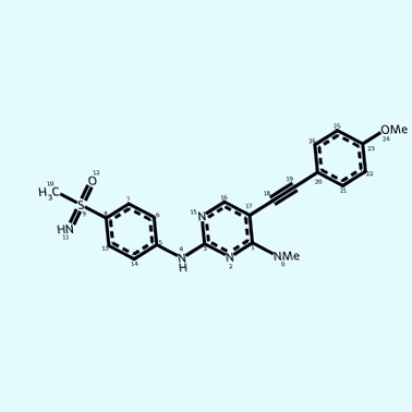 CNc1nc(Nc2ccc(S(C)(=N)=O)cc2)ncc1C#Cc1ccc(OC)cc1